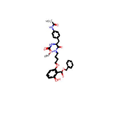 CC(C)(C)OC(=O)NC(Cc1ccc(NC(=O)C(=O)O)cc1)C(=O)NCCCCOc1cccc(O)c1C(=O)OCc1ccccc1